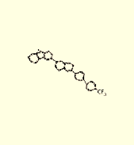 FC(F)(F)c1ccc(-c2ccc(-c3ccc4cc(-c5ccc6sc7ccccc7c6c5)ccc4c3)cc2)cc1